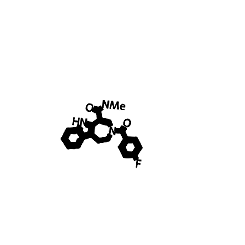 CNC(=O)C1=CN(C(=O)c2ccc(F)cc2)CCc2c1[nH]c1ccccc21